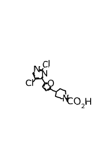 O=C(O)N1CCC(c2ccc(-c3nc(Cl)ncc3Cl)o2)CC1